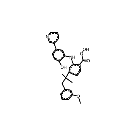 COc1cccc(CC(C)(C)c2ccc(C(=O)OO)c(Nc3cc(-c4cccnc4)ccc3O)c2)c1